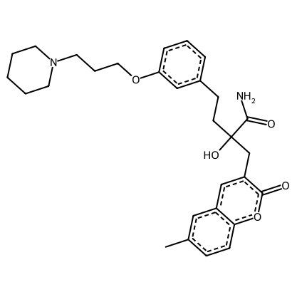 Cc1ccc2oc(=O)c(CC(O)(CCc3cccc(OCCCN4CCCCC4)c3)C(N)=O)cc2c1